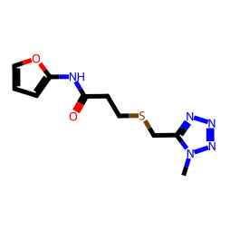 Cn1nnnc1CSCCC(=O)Nc1ccco1